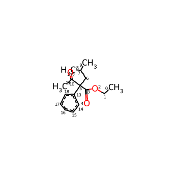 CCOC(=O)C(CC(C)C)(C(C)=O)c1ccccc1